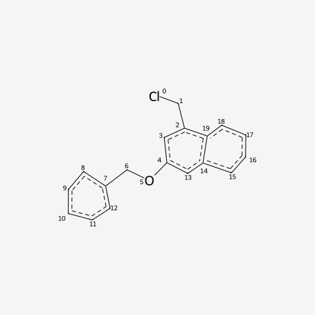 ClCc1cc(OCc2ccccc2)cc2ccccc12